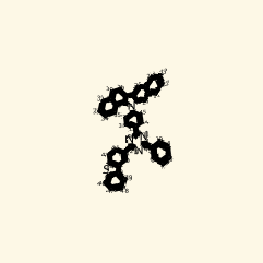 C1=C(c2nc(-c3ccccc3)nc(-c3ccc(-n4c5cc6ccccc6cc5c5ccc6ccccc6c54)cc3)n2)CCc2sc3ccccc3c21